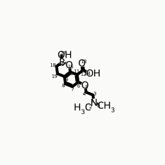 CN(C)CCOc1ccc2c(c1C(=O)O)OB(O)CC2